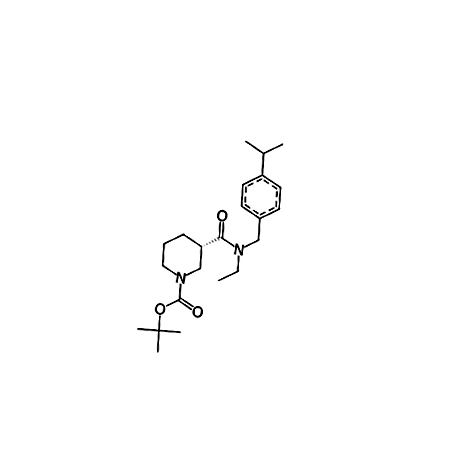 CCN(Cc1ccc(C(C)C)cc1)C(=O)[C@H]1CCCN(C(=O)OC(C)(C)C)C1